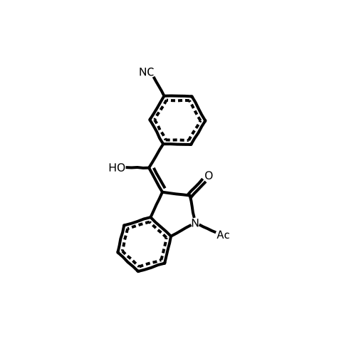 CC(=O)N1C(=O)/C(=C(/O)c2cccc(C#N)c2)c2ccccc21